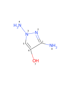 Nc1nn(N)cc1O